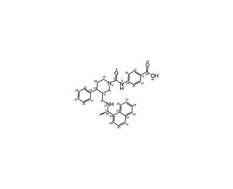 C[C@@H](NCC1CN(C(=O)Nc2ccc(C(=O)O)cc2)CCC1c1ccccc1)c1cccc2ccccc12